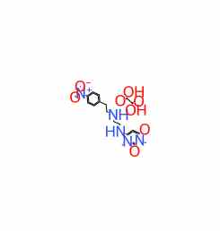 Cn1c(NCCNCCc2ccc([N+](=O)[O-])cc2)cc(=O)n(C)c1=O.O=C(O)C(=O)O